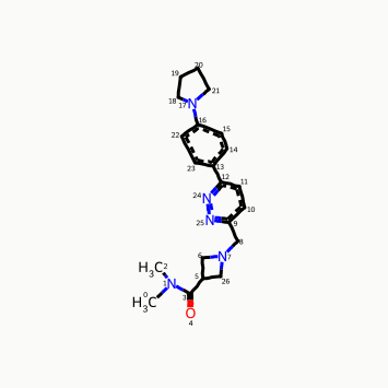 CN(C)C(=O)C1CN(Cc2ccc(-c3ccc(N4CCCC4)cc3)nn2)C1